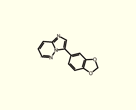 [c]1ccc2ncc(-c3ccc4c(c3)OCO4)n2n1